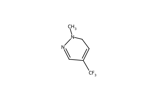 CN1CC=C(C(F)(F)F)C=N1